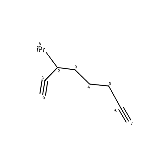 [C]#CC(CCCC#C)C(C)C